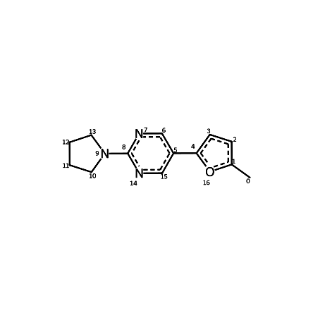 Cc1ccc(-c2cnc(N3CCCC3)nc2)o1